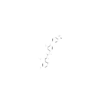 CC(C)O/C(=N\C(=O)Nc1ccc(Oc2ccc([N+](=O)[O-])cc2)c(Cl)c1)c1cc(Cl)ccc1Cl